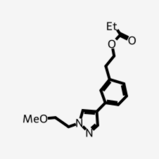 CCC(=O)OCCc1cccc(-c2cnn(CCOC)c2)c1